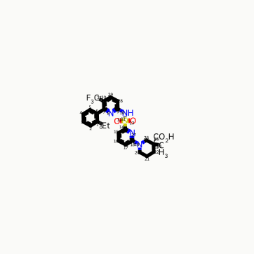 CCc1ccccc1-c1nc(NS(=O)(=O)c2cccc(N3CCC[C@@](C)(C(=O)O)C3)n2)ccc1C(F)(F)F